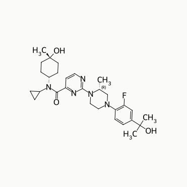 C[C@@H]1CN(c2ccc(C(C)(C)O)cc2F)CCN1c1nccc(C(=O)N(C2CC2)[C@H]2CC[C@@](C)(O)CC2)n1